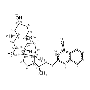 C[C@H](CCc1nc2ccccc2c(=O)[nH]1)[C@H]1CC[C@H]2[C@H]3C(CC[C@]12C)[C@@]1(C)CC[C@@H](O)C[C@H]1C[C@@H]3O